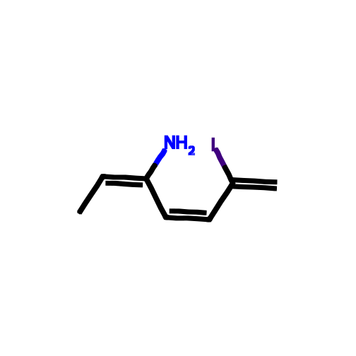 C=C(I)/C=C\C(N)=C/C